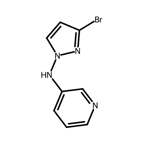 Brc1ccn(Nc2cccnc2)n1